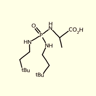 CC(NP(=O)(NCCC(C)(C)C)NCCC(C)(C)C)C(=O)O